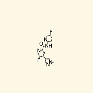 Cn1cc(-c2cc(C(=O)Nc3ccc(F)cn3)ncc2F)cn1